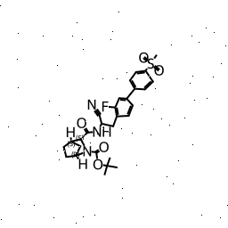 CC(C)(C)OC(=O)N1[C@@H]2CC[C@@H](C2)[C@H]1C(=O)NC(C#N)Cc1ccc(-c2ccc(S(C)(=O)=O)cc2)cc1F